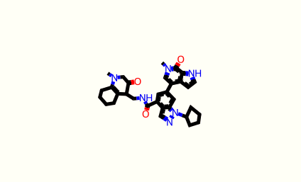 CN1CC(=O)C(CNC(=O)c2cc(-c3cn(C)c(=O)c4[nH]ccc34)cc3c2cnn3C2CCCC2)C2=C1CCCC2